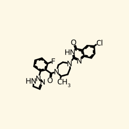 CC1CCN(c2nc3ccc(Cl)cc3c(=O)[nH]2)CCN1C(=O)c1c(F)cccc1N1N=CCN1